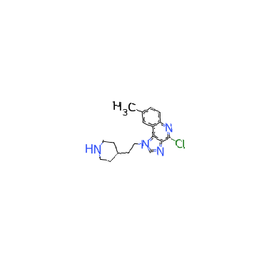 Cc1ccc2nc(Cl)c3ncn(CCC4CCNCC4)c3c2c1